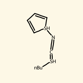 CCCC[SH]=C=N[SH]1C=CC=C1